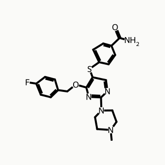 CN1CCN(c2ncc(Sc3ccc(C(N)=O)cc3)c(OCc3ccc(F)cc3)n2)CC1